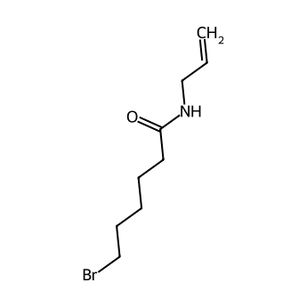 C=CCNC(=O)CCCCCBr